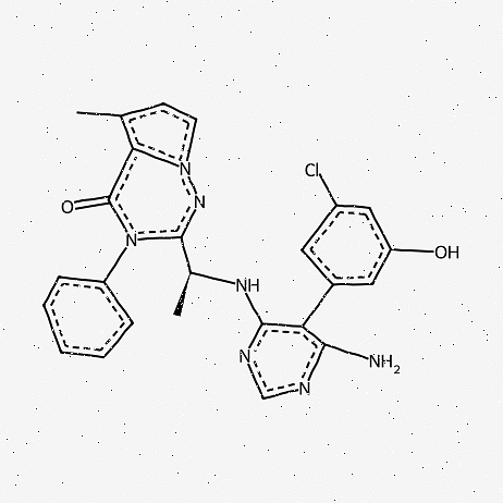 Cc1ccn2nc([C@H](C)Nc3ncnc(N)c3-c3cc(O)cc(Cl)c3)n(-c3ccccc3)c(=O)c12